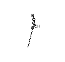 CCCCCCCCCCCCCCCCCOCC[C@H](CO)OCc1ccc(C#N)cc1